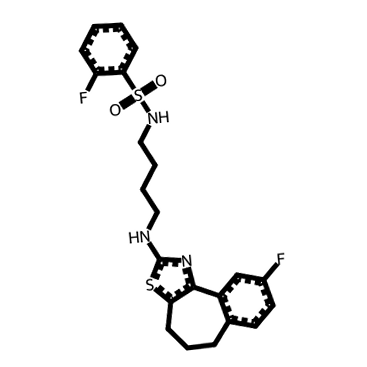 O=S(=O)(NCCCCNc1nc2c(s1)CCCc1ccc(F)cc1-2)c1ccccc1F